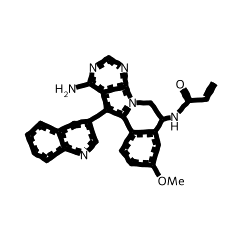 C=CC(=O)NC1Cn2c(c(-c3cnc4ccccc4c3)c3c(N)ncnc32)-c2ccc(OC)cc21